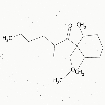 CCCCC(I)C(=O)C1(COC)C(C)CCCC1C